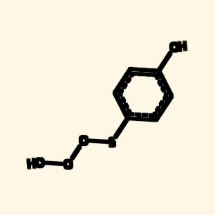 OOOSc1ccc(O)cc1